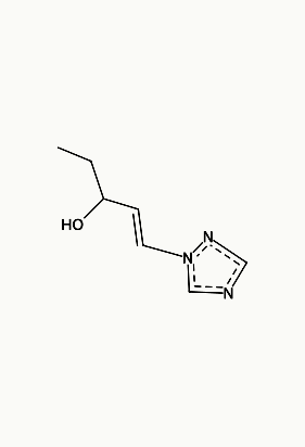 CCC(O)/C=C/n1cncn1